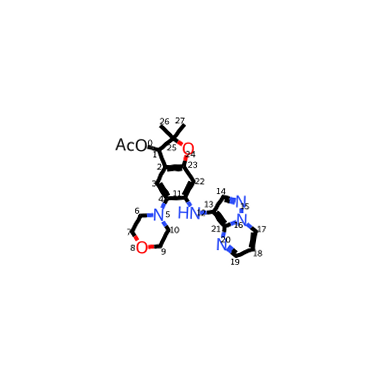 CC(=O)OC1c2cc(N3CCOCC3)c(Nc3cnn4cccnc34)cc2OC1(C)C